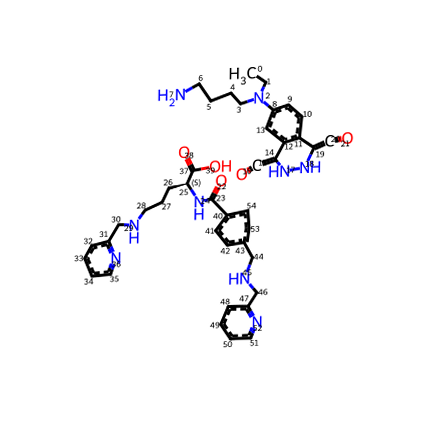 CCN(CCCCN)c1ccc2c(c1)C(=C=O)NNC2=C=O.O=C(N[C@@H](CCCNCc1ccccn1)C(=O)O)c1ccc(CNCc2ccccn2)cc1